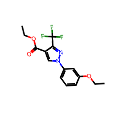 CCOC(=O)c1cn(-c2cccc(OCC)c2)nc1C(F)(F)F